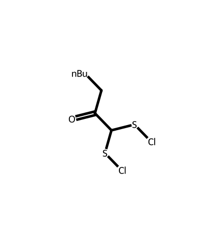 CCCCCC(=O)C(SCl)SCl